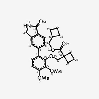 COc1ccc(-c2ccc3c(c2)CNC3=O)c(OCC2(C(=O)OCC3CCC3)CCC2)c1OC